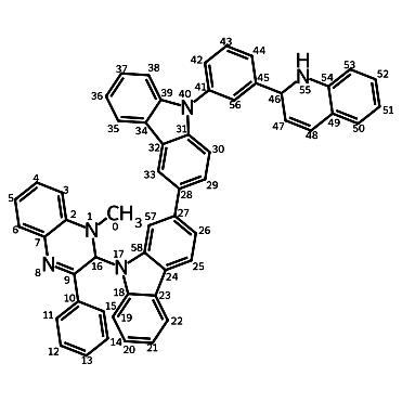 CN1c2ccccc2N=C(c2ccccc2)C1n1c2ccccc2c2ccc(-c3ccc4c(c3)c3ccccc3n4-c3cccc(C4C=Cc5ccccc5N4)c3)cc21